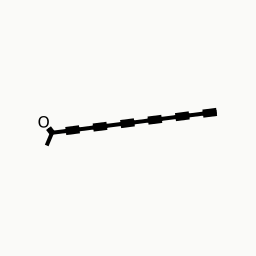 C#CC#CC#CC#CC#CC#CC(C)=O